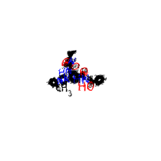 Cc1ccccc1N1CCN(c2ccc(C(=O)NC[C@@H](O)c3ccccc3)cc2NC(=O)c2coc(C3CC3)n2)CC1